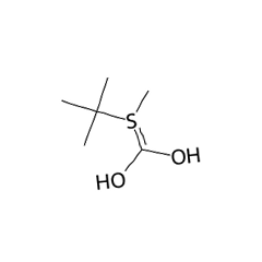 CS(=C(O)O)C(C)(C)C